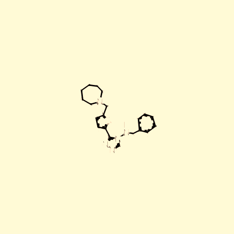 c1ccc(CNn2cnnc2-c2ccc(CN3CCCCCC3)s2)cc1